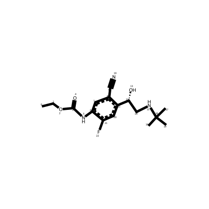 CCOC(=O)Nc1cc(C#N)c([C@H](O)CNC(C)(C)C)cc1F